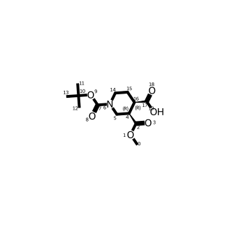 COC(=O)[C@H]1CN(C(=O)OC(C)(C)C)CC[C@H]1C(=O)O